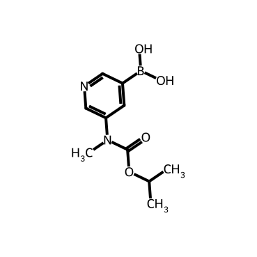 CC(C)OC(=O)N(C)c1cncc(B(O)O)c1